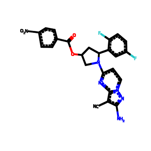 N#Cc1c(N)nn2ccc(N3CC(OC(=O)c4ccc([N+](=O)[O-])cc4)CC3c3cc(F)ccc3F)nc12